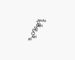 CC(=O)NC(C)C1=CN(c2cnc(Oc3ccc(NCC(C)C)cc3)s2)NO1